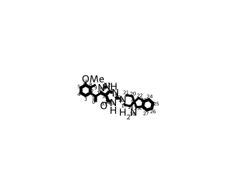 C=C(c1cccc(OC)c1C)c1n[nH]c2nc(N3CCC4(CC3)Cc3ccccc3[C@H]4N)[nH]c(=O)c12